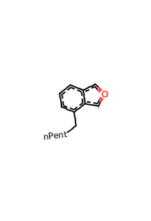 CCCCCCc1cccc2co[c]c12